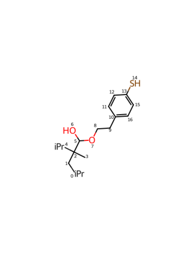 CC(C)CC(C)(C(C)C)C(O)OCCc1ccc(S)cc1